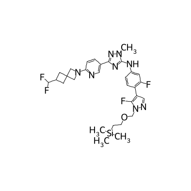 Cn1nc(-c2ccc(N3CC4(CC(C(F)F)C4)C3)nc2)nc1Nc1ccc(-c2cnn(COCC[Si](C)(C)C)c2F)c(F)c1